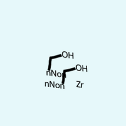 CCCCCCCCCCO.CCCCCCCCCCO.[Zr]